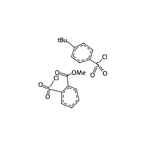 CC(C)(C)c1ccc(S(=O)(=O)Cl)cc1.COC(=O)c1ccccc1S(=O)(=O)Cl